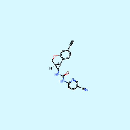 C#Cc1ccc2c(c1)OC[C@@H]1C(NC(=O)Nc3ccc(C#N)cn3)[C@H]21